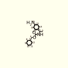 CC(NC(=O)OCc1ccccc1)c1ccc(N)cc1